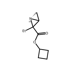 CCC1(C(=O)OC2CCC2)C2C[N@]21